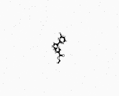 CCOC(=O)c1cn2c(-c3nccc(C)n3)cnc2s1